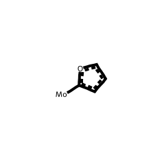 [Mo][c]1ccco1